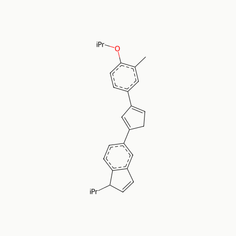 Cc1cc(C2=CCC(c3ccc4c(c3)C=CC4C(C)C)=C2)ccc1OC(C)C